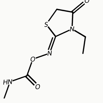 CCN1C(=O)CSC1=NOC(=O)NC